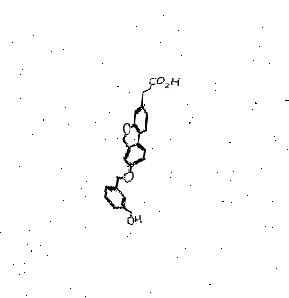 O=C(O)CCc1ccc2c(c1)OCc1cc(OCc3cccc(CO)c3)ccc1-2